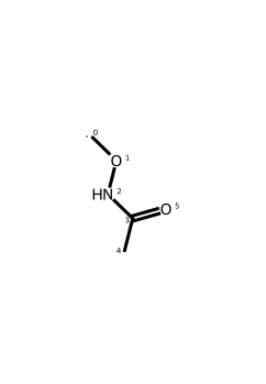 [CH2]ONC(C)=O